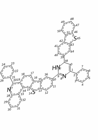 C1=C(c2ccccc2)N=C(c2ccc3sc4c(ccc5c(-c6ccccc6)nc6ccccc6c54)c3c2)NC1c1ccc2c(c1)sc1ccccc12